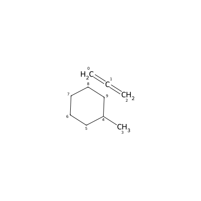 C=C=C.CC1CCCCC1